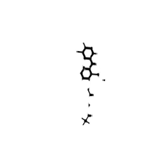 COC(=O)c1c(SCC(=O)OCOC(=O)C(C)(C)C)c(O)cc2oc3c(Cl)c(C)c(Cl)c(O)c3c(=O)c12